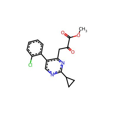 COC(=O)C(=O)Cc1nc(C2CC2)ncc1-c1ccccc1Cl